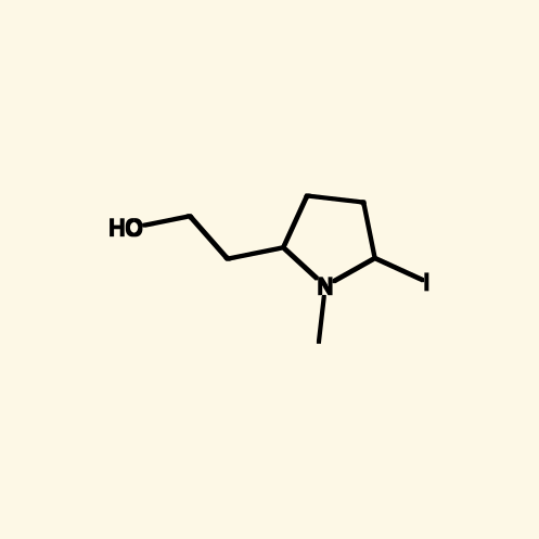 CN1C(I)CCC1CCO